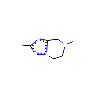 Cc1nc2n(n1)CCN(C)C2